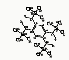 CC(c1cc(C(C)[Si](Cl)(Cl)Cl)c(C(C)[Si](Cl)(Cl)Cl)cc1C(C)[Si](Cl)(Cl)Cl)[Si](Cl)(Cl)Cl